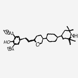 CC1(C)CC(C2CCC(C3CCC(CCc4cc(C(C)(C)C)c(O)c(C(C)(C)C)c4)OC3)CC2)CC(C)(C)N1